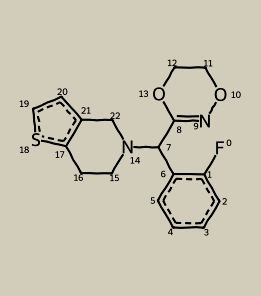 Fc1ccccc1C(C1=NOCCO1)N1CCc2sccc2C1